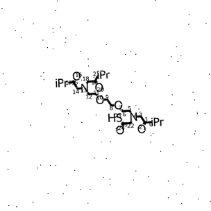 CC(C)C(=O)CN(CCOCCOCCN(CC(=O)C(C)C)CC(=O)C(C)C)CC(=O)S